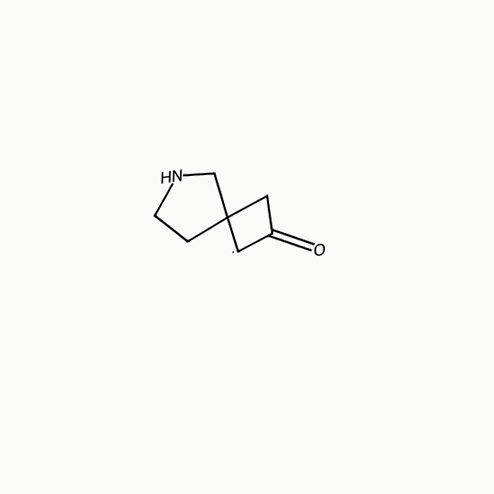 O=C1[CH]C2(CCNC2)C1